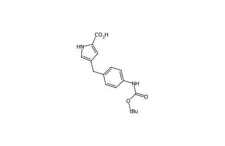 CC(C)(C)OC(=O)Nc1ccc(Cc2c[nH]c(C(=O)O)c2)cc1